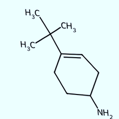 CC(C)(C)C1=CCC(N)CC1